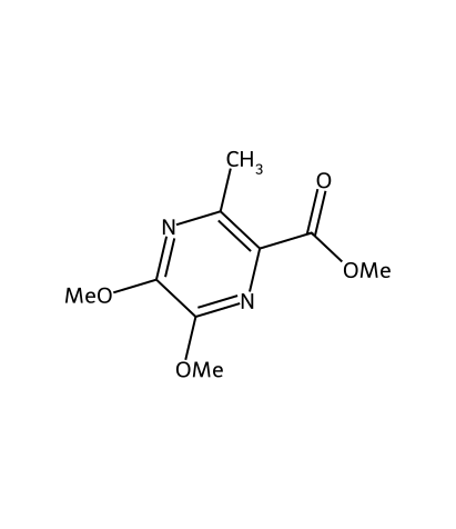 COC(=O)c1nc(OC)c(OC)nc1C